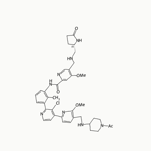 COc1cc(C(=O)Nc2cccc(-c3nccc(-c4ccc(CNC5CCN(C(C)=O)CC5)c(OC)n4)c3Cl)c2C)ncc1CNC[C@@H]1CCC(=O)N1